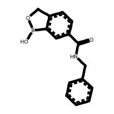 O=C(NCc1ccccc1)c1ccc2c(c1)B(O)OC2